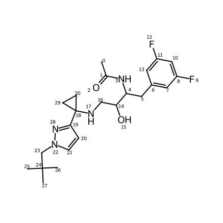 CC(=O)NC(Cc1cc(F)cc(F)c1)C(O)CNC1(c2ccn(CC(C)(C)C)n2)CC1